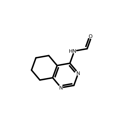 O=CNc1ncnc2c1CCCC2